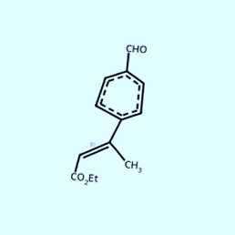 CCOC(=O)/C=C(\C)c1ccc(C=O)cc1